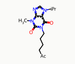 CC(=O)CCCCn1c(=O)c2c(ncn2C(C)C)n(C)c1=O